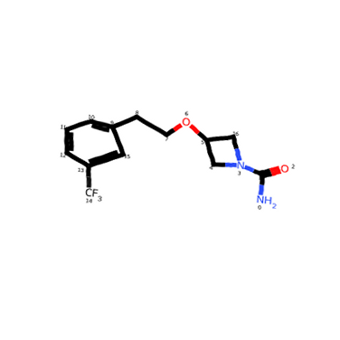 NC(=O)N1CC(OCCc2cccc(C(F)(F)F)c2)C1